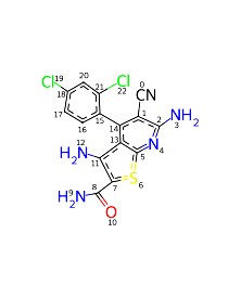 N#Cc1c(N)nc2sc(C(N)=O)c(N)c2c1-c1ccc(Cl)cc1Cl